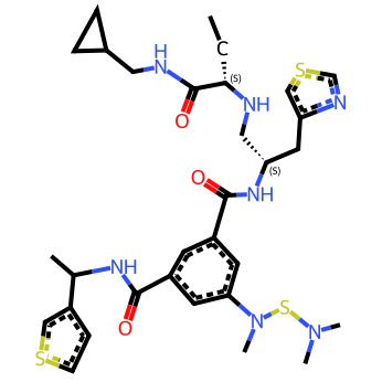 CC[C@H](NC[C@H](Cc1cscn1)NC(=O)c1cc(C(=O)NC(C)c2ccsc2)cc(N(C)SN(C)C)c1)C(=O)NCC1CC1